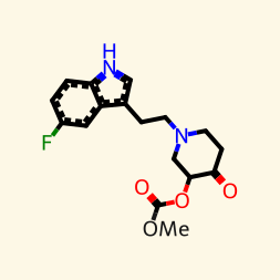 COC(=O)OC1CN(CCc2c[nH]c3ccc(F)cc23)CCC1=O